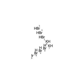 Br.Br.Br.Br.Br.Br.[Ir].[KH].[KH]